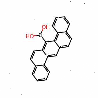 OB(O)c1c2ccc3ccccc3c2cc2ccc3ccccc3c12